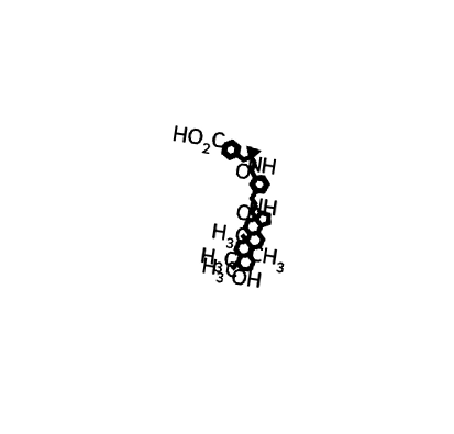 CC1(C)C(O)CCC2(C)C1CCC1(C)C3CCC4(C(=O)NCc5cccc(C(=O)NC6(Cc7ccc(C(=O)O)cc7)CC6)c5)CCCC4C3CCC12